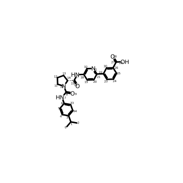 CC(C)c1ccc(NC(=O)N2CCC[C@@H]2C(=O)Nc2ccc(-c3cccc(C(=O)O)c3)nc2)cc1